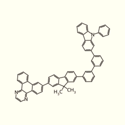 CC1(C)c2cc(-c3cccc(-c4cccc(-c5ccc6c7ccccc7n(-c7ccccc7)c6c5)c4)c3)ccc2-c2ccc(-c3ccc4c(c3)c3ccccc3c3nccnc43)cc21